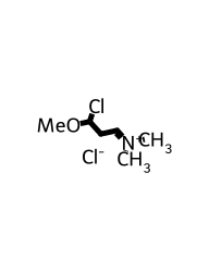 COC(Cl)CC=[N+](C)C.[Cl-]